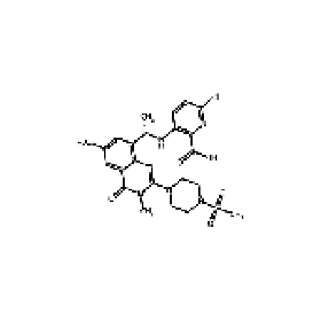 Cc1cc([C@H](C)Nc2ccc(Cl)nc2C(=O)O)c2nc(N3CCN(S(C)(=O)=O)CC3)n(C)c(=O)c2c1